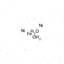 O.O.[Fe].[Ni].[Ni]